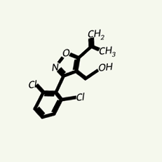 C=C(C)c1onc(-c2c(Cl)cccc2Cl)c1CO